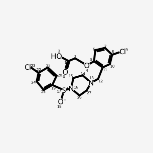 O=C(O)COc1ccc(Cl)cc1CN1CCN([S+]([O-])c2ccc(Cl)cc2)CC1